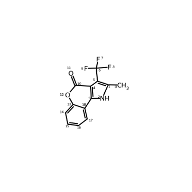 Cc1[nH]c2c(c1C(F)(F)F)c(=O)oc1ccccc12